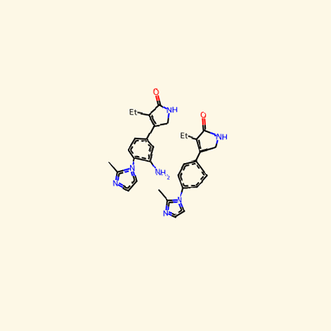 CCC1=C(c2ccc(-n3ccnc3C)c(N)c2)CNC1=O.CCC1=C(c2ccc(-n3ccnc3C)cc2)CNC1=O